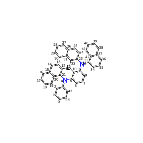 c1ccc(N2c3cccc4c3B(c3ccc5ccccc5c32)c2c(ccc3ccccc23)N4c2cccc3ccccc23)cc1